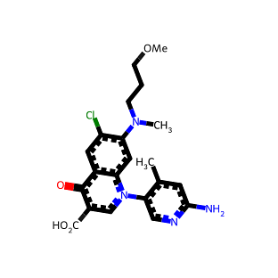 COCCCN(C)c1cc2c(cc1Cl)c(=O)c(C(=O)O)cn2-c1cnc(N)cc1C